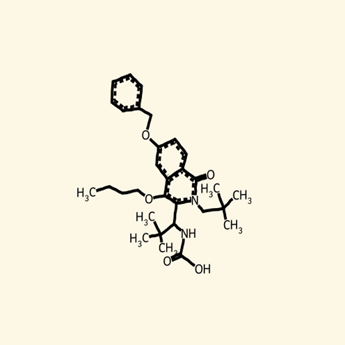 CCCCOc1c(C(NC(=O)O)C(C)(C)C)n(CC(C)(C)C)c(=O)c2ccc(OCc3ccccc3)cc12